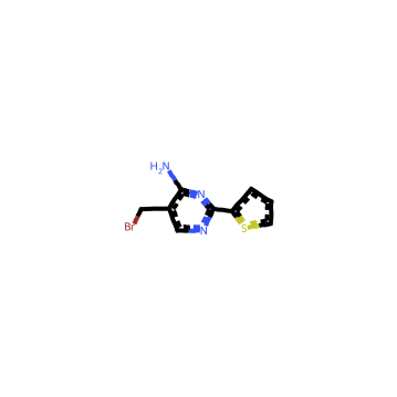 Nc1nc(-c2cccs2)ncc1CBr